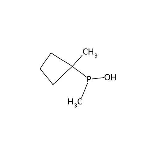 CP(O)C1(C)CCC1